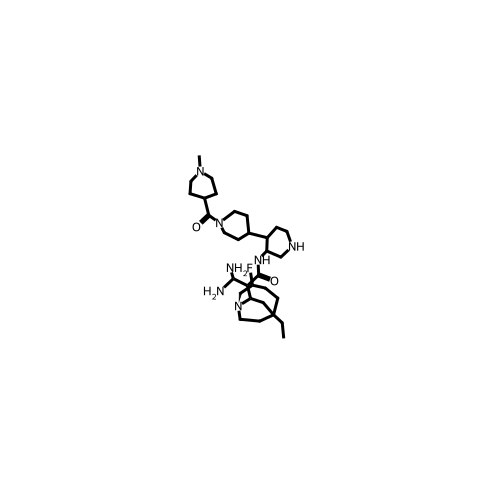 CCC12CCC(F)C[N@](CC1)C(C(C(=O)NC1CNCCC1C1CCN(C(=O)C3CCN(C)CC3)CC1)C(N)N)C2